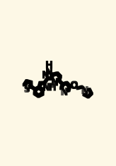 c1csc(-c2cccc3[nH]c(-c4n[nH]c5ccc(-c6cncc(OCCN7CCCC7)c6)nc45)cc23)c1